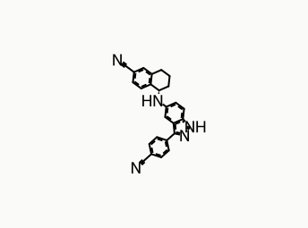 N#Cc1ccc(-c2n[nH]c3ccc(N[C@H]4CCCc5cc(C#N)ccc54)cc23)cc1